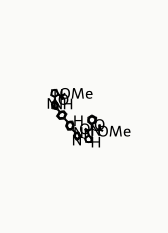 COC(=O)N[C@@H](C(=O)N1CCC[C@H]1c1ncc(-c2ccc(-c3ccc(-c4cnc([C@@H]5CCCN5C(=O)OC)[nH]4)cc3)cc2)[nH]1)c1ccccc1